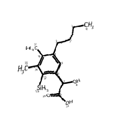 CCCCc1cc(C(O)C(=O)O)c([SiH3])c(C)c1C